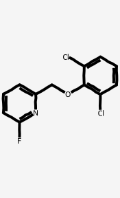 Fc1cccc(COc2c(Cl)cccc2Cl)n1